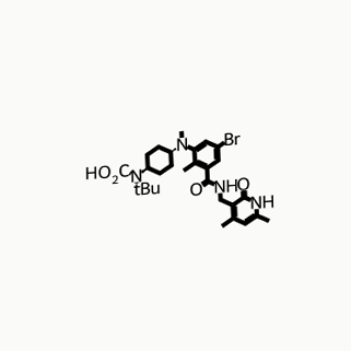 Cc1cc(C)c(CNC(=O)c2cc(Br)cc(N(C)[C@H]3CC[C@H](N(C(=O)O)C(C)(C)C)CC3)c2C)c(=O)[nH]1